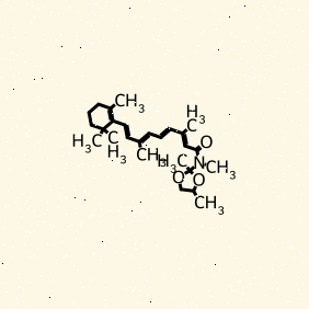 CC(C=CC1=C(C)CCCC1(C)C)=CC=CC(C)=CC(=O)N(C)C1(C)OCC(C)O1